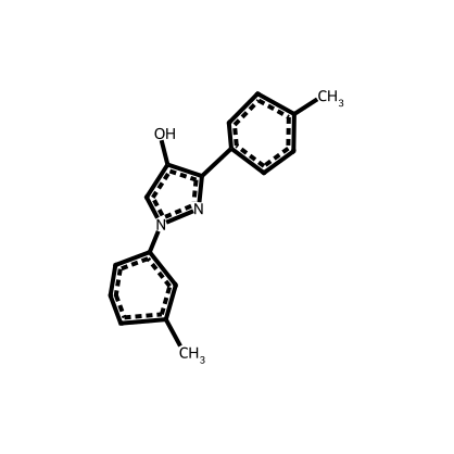 Cc1ccc(-c2nn(-c3cccc(C)c3)cc2O)cc1